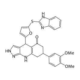 COc1ccc(C2CC(=O)C3=C(C2)Nc2n[nH]cc2C3c2ccc(Sc3nc4ccccc4[nH]3)o2)cc1OC